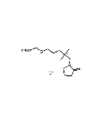 CCCCCCCCCCOCCC[N+](C)(C)CN1CCCC1=O.[Cl-]